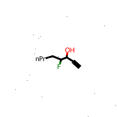 C#CC(O)C(F)CCCC